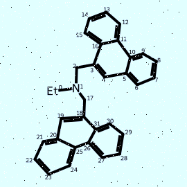 CCN(Cc1cc2ccccc2c2ccccc12)Cc1cc2ccccc2c2ccccc12